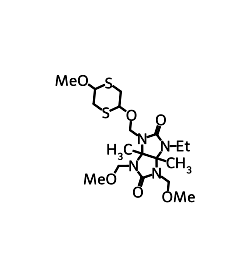 CCN1C(=O)N(COC2CSC(OC)CS2)C2(C)N(COC)C(=O)N(COC)C12C